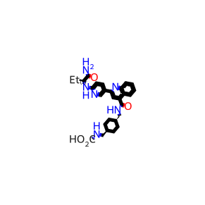 CC[C@H](Nc1ccc(-c2cc(C(=O)NC[C@H]3CC[C@H](CNC(=O)O)CC3)c3ccccc3n2)cn1)C(N)=O